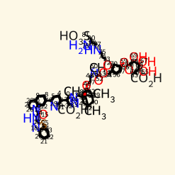 Cc1c(-c2ccc(-c3ccc4c(c3)N(C(=O)Nc3nc5ccccc5s3)CCC4)nc2C(=O)O)cnn1CC12CC3(C)CC(C)(C1)CC(OCCN(C)C(=O)OCc1ccc(O[C@@H]4O[C@H](C(=O)O)[C@@H](O)[C@H](O)[C@H]4O)cc1OCCCNC[C@@H](N)CS(=O)(=O)O)(C3)C2